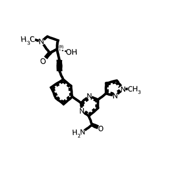 CN1CC[C@@](O)(C#Cc2cccc(-c3nc(C(N)=O)cc(-c4ccn(C)n4)n3)c2)C1=O